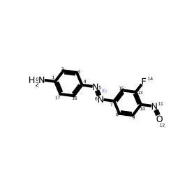 Nc1ccc(/N=N/c2ccc(N=O)c(F)c2)cc1